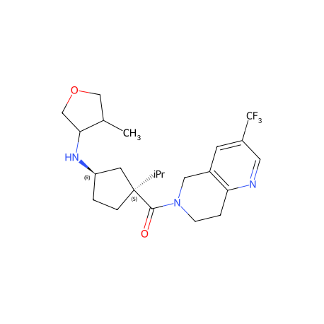 CC1COCC1N[C@@H]1CC[C@@](C(=O)N2CCc3ncc(C(F)(F)F)cc3C2)(C(C)C)C1